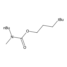 CCCCN(C)C(=O)OCCCC(C)(C)C